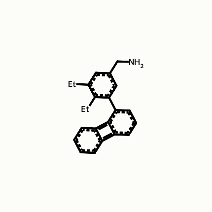 CCc1cc(CN)cc(-c2cccc3c2=c2ccccc2=3)c1CC